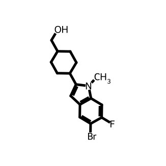 Cn1c(C2CCC(CO)CC2)cc2cc(Br)c(F)cc21